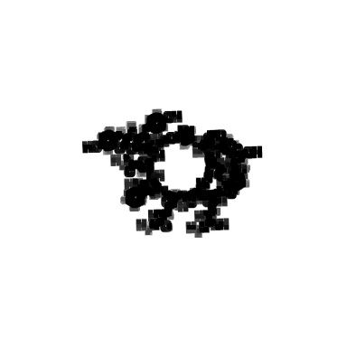 C[C@H](O)[C@@H]1NC(=O)[C@H]2Cc3cn(nn3)CCC[C@@H](C(=O)N[C@@H](Cc3ccc(O)cc3)C(=O)N(C)[C@@H](Cc3ccc(O)cc3)C(=O)O)NC(=O)[C@H](CCC(N)=O)NC(=O)[C@@H](Cc3c[nH]c4ccccc34)NC(=O)[C@H](CCCNC(N)=O)NC(=O)[C@@H](CSSCC(NC(=O)CN)C(=O)N2)NC(=O)[C@@H](CCCNC(=N)N)NC(=O)[C@@H]2CCCN2C(=O)[C@@H](CC(=O)O)NC1=O